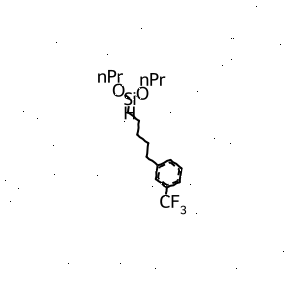 CCCO[SiH](CCCCCc1cccc(C(F)(F)F)c1)OCCC